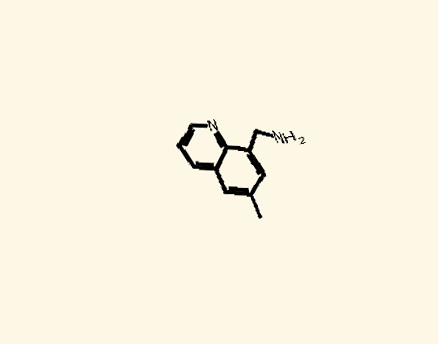 Cc1cc(CN)c2ncccc2c1